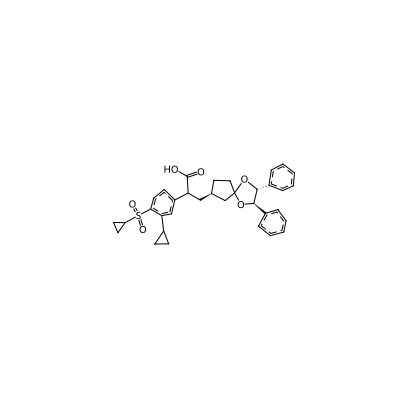 O=C(O)C(C[C@H]1CCC2(C1)O[C@H](c1ccccc1)[C@@H](c1ccccc1)O2)c1ccc(S(=O)(=O)C2CC2)c(C2CC2)c1